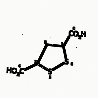 O=C(O)C1CC(C(=O)O)SS1